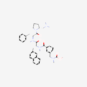 CN(C)C[C@@H]1CCCN1C(=O)[C@@H](Cc1ccccc1)N(C)C(=O)[C@@H](Cc1ccc2ccccc2c1)N(C)C(=O)c1cccc(CN(C)C(=O)OC(C)(C)C)c1